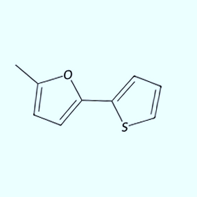 Cc1ccc(-c2cccs2)o1